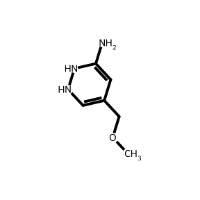 COCC1=CNNC(N)=C1